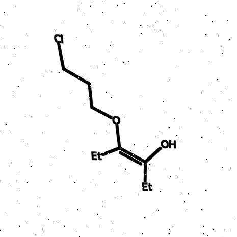 CC/C(O)=C(\CC)OCCCCl